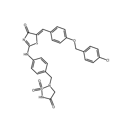 O=C1CN(Cc2ccc(NC3=NC(=O)C(=Cc4ccc(OCc5ccc(Cl)cc5)cc4)S3)cc2)S(=O)(=O)N1